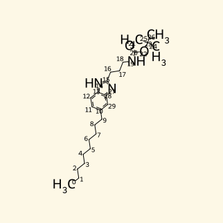 CCCCCCCCCCc1ccc2[nH]c(CCCNC(=O)OC(C)(C)C)nc2c1